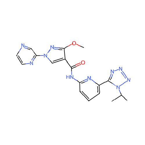 COc1nn(-c2cnccn2)cc1C(=O)Nc1cccc(-c2nnnn2C(C)C)n1